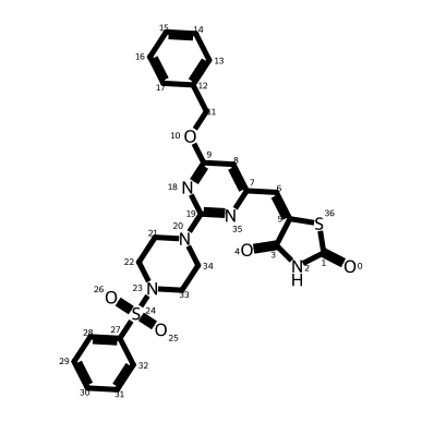 O=C1NC(=O)/C(=C\c2cc(OCc3ccccc3)nc(N3CCN(S(=O)(=O)c4ccccc4)CC3)n2)S1